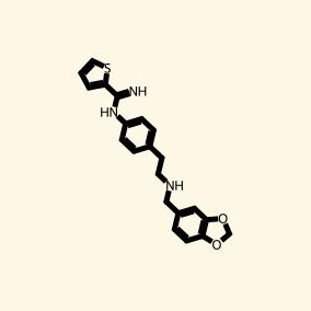 N=C(Nc1ccc(CCNCc2ccc3c(c2)OCO3)cc1)c1cccs1